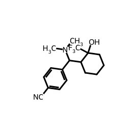 CN(C)C(c1ccc(C#N)cc1)C1CCCCC1(O)C(F)(F)F